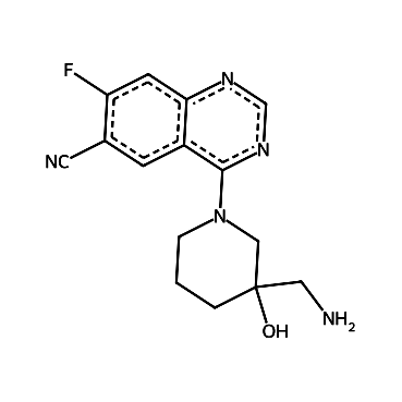 N#Cc1cc2c(N3CCCC(O)(CN)C3)ncnc2cc1F